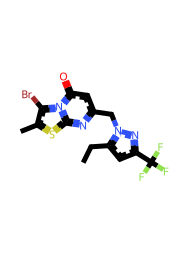 CCc1cc(C(F)(F)F)nn1Cc1cc(=O)n2c(Br)c(C)sc2n1